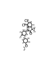 CCOc1ccc(-c2cc(NC(=O)C3(c4ccc(Cl)c(Cl)c4)CC3)ccc2C)cc1